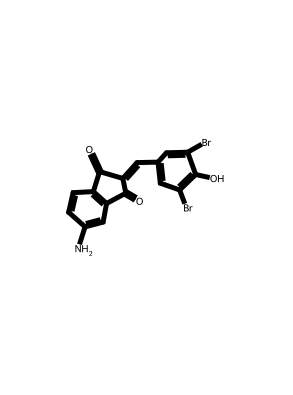 Nc1ccc2c(c1)C(=O)C(=Cc1cc(Br)c(O)c(Br)c1)C2=O